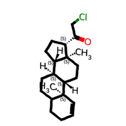 C[C@]12CC[C@H]3[C@@H](CCC4CCC=C[C@@]43C)[C@@H]1CC[C@@H]2C(=O)CCl